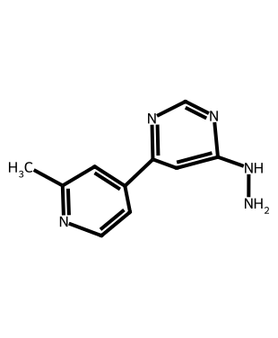 Cc1cc(-c2cc(NN)ncn2)ccn1